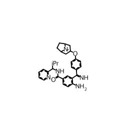 CC(C)C(NC(=O)c1ccc(N)c(C(=N)c2ccc(OC3CC4CCC(C3)N4C)cc2)c1)c1ccccn1